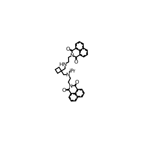 CC(C)N(CCN1C(=O)c2cccc3cccc(c23)C1=O)CC1(CNCCN2C(=O)c3cccc4cccc(c34)C2=O)CCC1